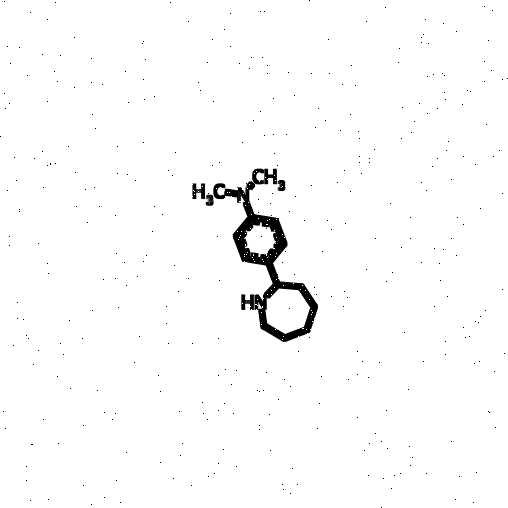 CN(C)c1ccc(C2CCCCCN2)cc1